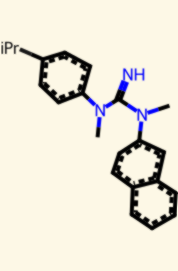 CC(C)c1ccc(N(C)C(=N)N(C)c2ccc3ccccc3c2)cc1